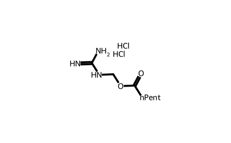 CCCCCC(=O)OCNC(=N)N.Cl.Cl